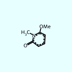 COc1cccc(=O)n1C